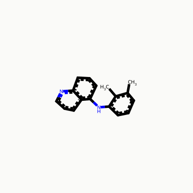 Cc1cccc(Nc2cccc3ncccc23)c1C